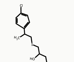 CC(CSCC(O)CO)c1ccc(Cl)cc1